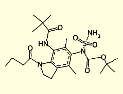 CCCC(=O)N1CCc2c(C)c(N(C(=O)OC(C)(C)C)S(N)(=O)=O)c(C)c(NC(=O)C(C)(C)C)c21